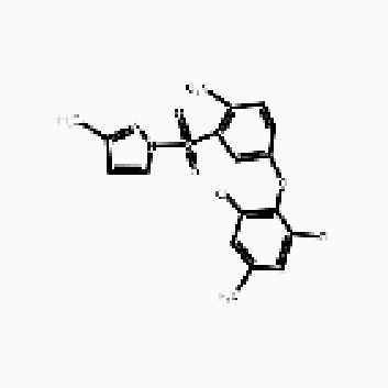 Cc1ccn(S(=O)(=O)c2cc(Oc3c(Cl)cc(C(F)(F)F)cc3Cl)ccc2[N+](=O)[O-])n1